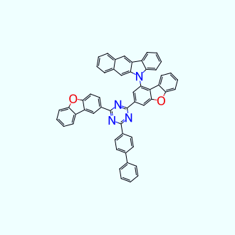 c1ccc(-c2ccc(-c3nc(-c4cc(-n5c6ccccc6c6cc7ccccc7cc65)c5c(c4)oc4ccccc45)nc(-c4ccc5oc6ccccc6c5c4)n3)cc2)cc1